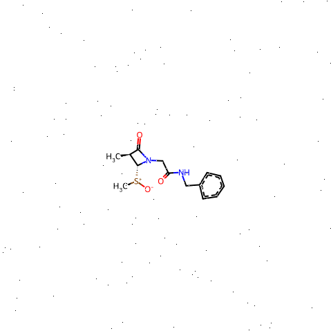 C[C@H]1C(=O)N(CC(=O)NCc2ccccc2)[C@@H]1[S+](C)[O-]